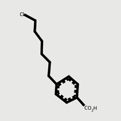 O=C(O)c1ccc(CCCCCCCl)cc1